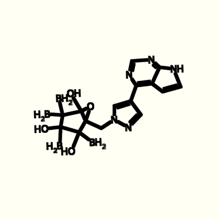 BC1(B)C(B)(O)C(B)(O)C2(Cn3cc(-c4ncnc5[nH]ccc45)cn3)OC12O